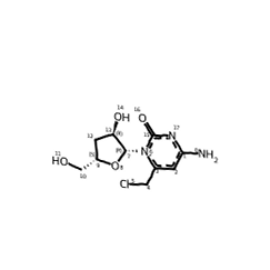 Nc1cc(CCl)n([C@@H]2O[C@H](CO)C[C@H]2O)c(=O)n1